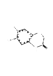 Cc1cc2c(cc1[N+](=O)[O-])NC(=O)CO2